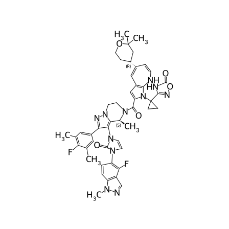 Cc1cc(-c2nn3c(c2-n2ccn(-c4ccc5c(cnn5C)c4F)c2=O)[C@H](C)N(C(=O)c2cc4c(n2C2(c5noc(=O)[nH]5)CC2)NC=CC([C@@H]2CCOC(C)(C)C2)=C4)CC3)cc(C)c1F